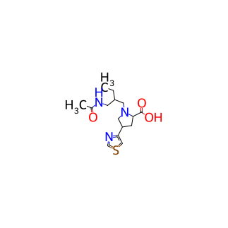 CCC(CNC(C)=O)CN1CC(c2cscn2)CC1C(=O)O